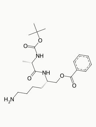 C[C@H](NC(=O)OC(C)(C)C)C(=O)N[C@@H](CCCCN)COC(=O)c1ccccc1